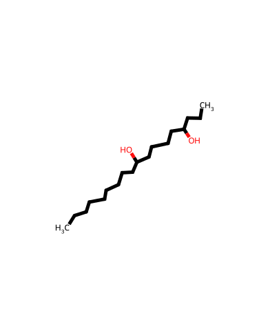 CCCCCCCCCC(O)CCCCC(O)CCC